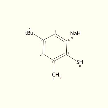 Cc1cc(C(C)(C)C)ccc1S.[NaH]